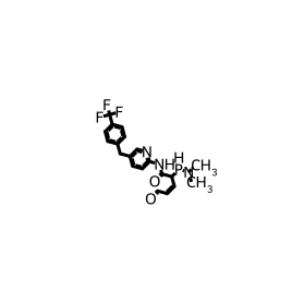 CN(C)PC(/C=C\C=O)C(=O)Nc1ccc(Cc2ccc(C(F)(F)F)cc2)cn1